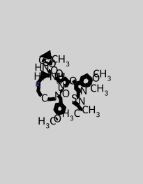 COc1ccc(CN2CCCCC/C=C\[C@@H]3C[C@@]3(C(=O)NS(=O)(=O)C3(C)CC3)NC(=O)[C@@H]3C[C@@H](Oc4cc(-c5nc(C(C)C)cs5)nc5c(C)c(OC)ccc45)CN3C2=O)cc1